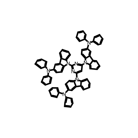 c1ccc(N(c2ccccc2)c2ccc3c(c2)c2ccccc2n3-c2cc(-n3c4ccccc4c4cc(N(c5ccccc5)c5ccccc5)ccc43)nc(-n3c4ccccc4c4cc(N(c5ccccc5)c5ccccc5)ccc43)n2)cc1